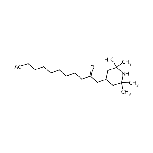 CC(=O)CCCCCCCCC(=O)CC1CC(C)(C)NC(C)(C)C1